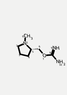 CN1CCC[C@H]1COC(=N)N